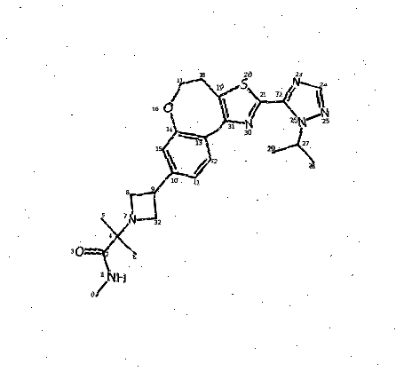 CNC(=O)C(C)(C)N1CC(c2ccc3c(c2)OCCc2sc(-c4ncnn4C(C)C)nc2-3)C1